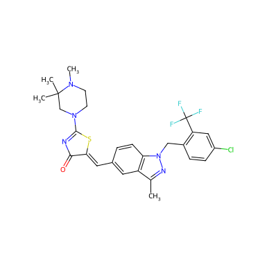 Cc1nn(Cc2ccc(Cl)cc2C(F)(F)F)c2ccc(/C=C3\SC(N4CCN(C)C(C)(C)C4)=NC3=O)cc12